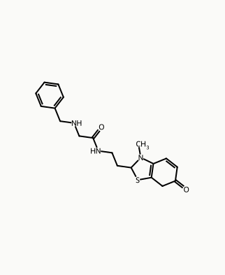 CN1C2=C(CC(=O)C=C2)SC1CCNC(=O)CNCc1ccccc1